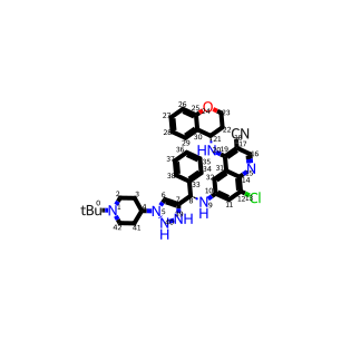 CC(C)(C)N1CCC(N2C=C([C@@H](Nc3cc(Cl)c4ncc(C#N)c(N[C@H]5CCOc6ccccc65)c4c3)c3ccccc3)NN2)CC1